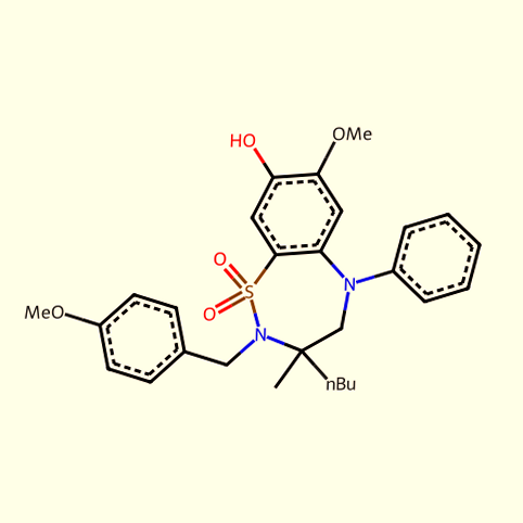 CCCCC1(C)CN(c2ccccc2)c2cc(OC)c(O)cc2S(=O)(=O)N1Cc1ccc(OC)cc1